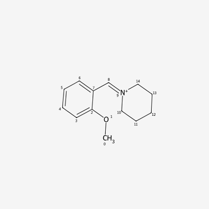 COc1ccccc1C=[N+]1CCCCC1